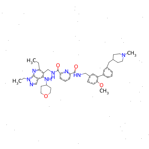 CCc1nc2c(cnn2CC)c(NC2CCOCC2)c1CNC(=O)c1cccc(C(=O)NCc2ccc(OC)c(-c3cccc(CC4CCN(C)CC4)c3)c2)n1